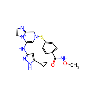 CONC(=O)c1ccc(SN2C=C(Nc3cc(C4CC4)[nH]n3)[N+]3C=CN=C3C2)cc1